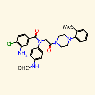 CSc1ccccc1N1CCN(C(=O)CN(C(=O)c2ccc(Cl)c(N)c2)c2ccc(NC=O)cc2)CC1